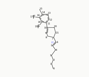 CCCCC/C=C/C1CC=C(c2ccc(C)c(F)c2F)CC1